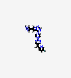 C[C@@H](c1cnc(N2CCN(c3ncnn4cc(-c5cnn(C)c5)cc34)CC2)nc1)c1ccc(F)cn1